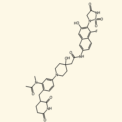 CC(=O)N(C)c1cc(N2CCC(O)(CC(=O)Nc3ccc4c(F)c(N5CC(=O)NS5(=O)=O)c(O)cc4c3)CC2)ccc1CC1CCC(=O)NC1=O